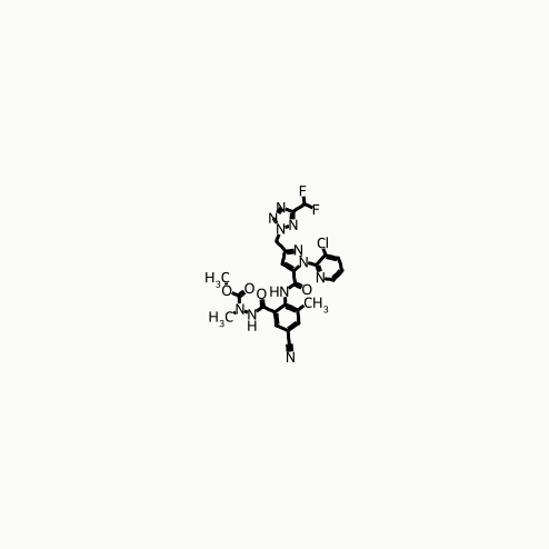 COC(=O)N(C)NC(=O)c1cc(C#N)cc(C)c1NC(=O)c1cc(Cn2nnc(C(F)F)n2)nn1-c1ncccc1Cl